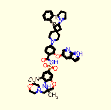 CC(C)c1ccccc1[C@@H]1CCCN1C1CC2(CCN(c3ccc(C(=O)NS(=O)(=O)c4cc5c(c([N+](=O)[O-])c4)NC(C)(CN4CCOCC4)CO5)c(Oc4cnc5[nH]ccc5c4)c3)CC2)C1